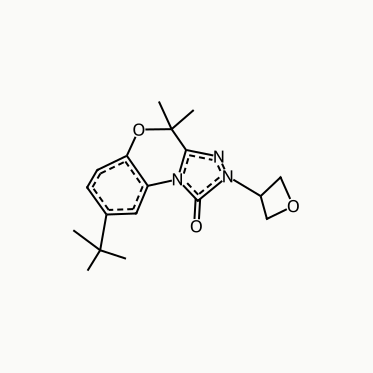 CC(C)(C)c1ccc2c(c1)-n1c(nn(C3COC3)c1=O)C(C)(C)O2